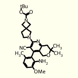 COc1ccc(C)c(-c2c(C#N)c(N3CCC4(CN(C(=O)OC(C)(C)C)C4)C3)nc3c2COC(C)(C)C3)c1N